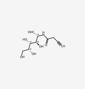 C#CCC(=O)N[C@@H](C=O)[C@@H](O)[C@@H](O)[C@H](O)CO